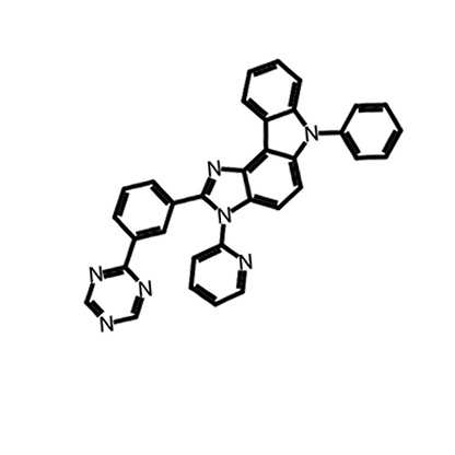 c1ccc(-n2c3ccccc3c3c4nc(-c5cccc(-c6ncncn6)c5)n(-c5ccccn5)c4ccc32)cc1